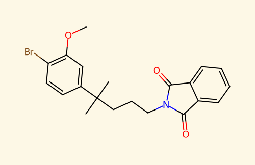 COc1cc(C(C)(C)CCCN2C(=O)c3ccccc3C2=O)ccc1Br